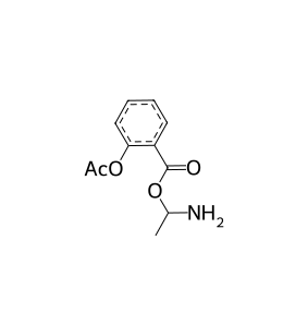 CC(=O)Oc1ccccc1C(=O)OC(C)N